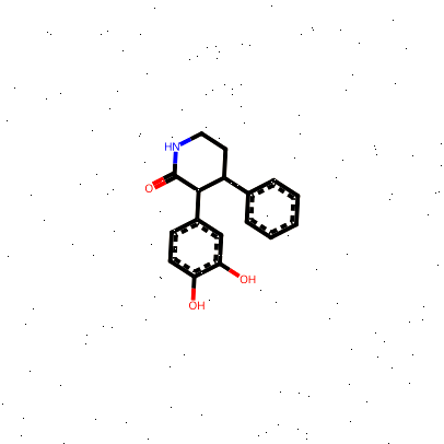 O=C1NCCC(c2ccccc2)C1c1ccc(O)c(O)c1